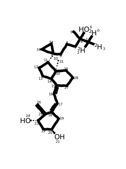 [2H]C([2H])([2H])C(C)(O)CCCC1([C@H]2CCC3/C(=C/C=C4/C[C@@H](O)C[C@H](O)C4=C)CCC[C@@]32C)CC1